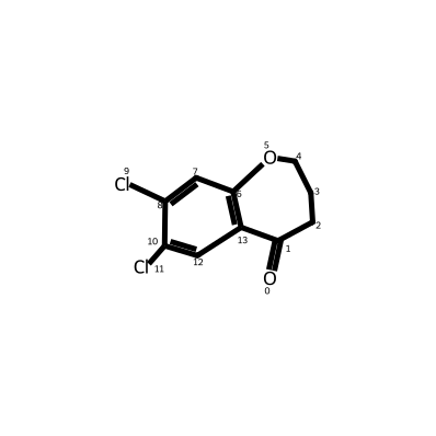 O=C1CCCOc2cc(Cl)c(Cl)cc21